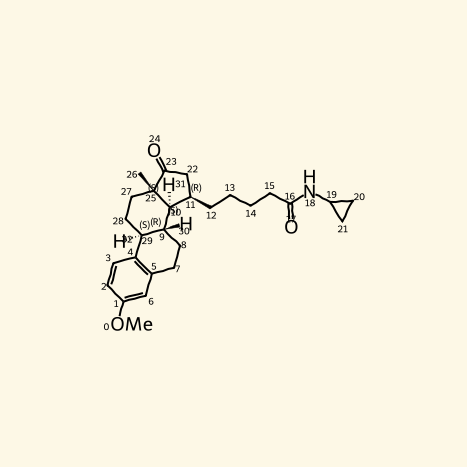 COc1ccc2c(c1)CC[C@H]1[C@@H]3[C@H](CCCCC(=O)NC4CC4)CC(=O)[C@@]3(C)CC[C@H]21